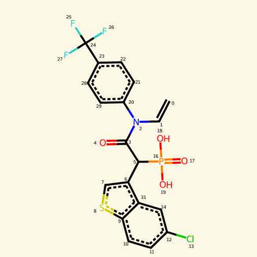 C=CN(C(=O)C(c1csc2ccc(Cl)cc12)P(=O)(O)O)c1ccc(C(F)(F)F)cc1